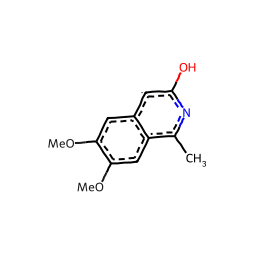 COc1cc2[c]c(O)nc(C)c2cc1OC